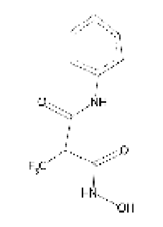 O=C(NO)C(C(=O)Nc1ccccc1)C(F)(F)F